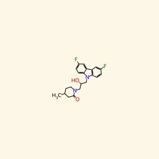 CC1CCN(CC(O)Cn2c3ccc(F)cc3c3cc(F)ccc32)C(=O)C1